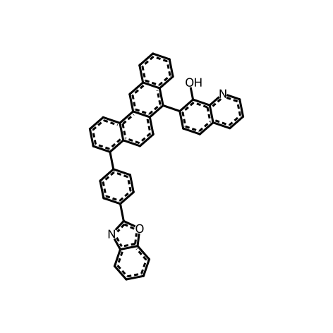 Oc1c(-c2c3ccccc3cc3c2ccc2c(-c4ccc(-c5nc6ccccc6o5)cc4)cccc23)ccc2cccnc12